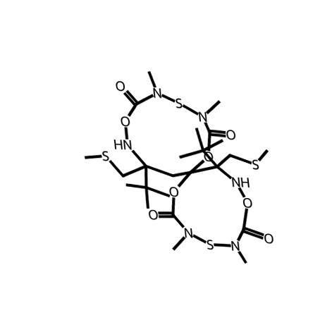 CSCC1(C(C)(C)C)CC2(OC(=O)N(C)SN(C)C(=O)ON1)OC(=O)N(C)SN(C)C(=O)ONC2(CSC)C(C)(C)C